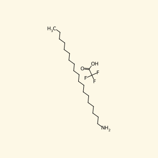 CCCCCCCCCCCCCCCCCCCN.O=C(O)C(F)(F)F